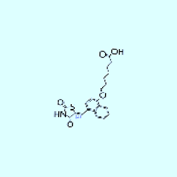 O=C(O)CCCCCCOc1ccc(/C=C2\SC(=O)NC2=O)c2ccccc12